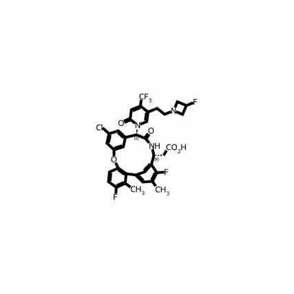 Cc1cc2cc(c1F)[C@@H](CC(=O)O)NC(=O)[C@@H](n1cc(CCN3CC(F)C3)c(C(F)(F)F)cc1=O)c1cc(Cl)cc(c1)Oc1ccc(F)c(C)c1-2